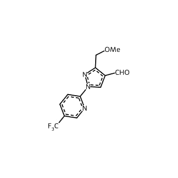 COCc1nn(-c2ccc(C(F)(F)F)cn2)cc1C=O